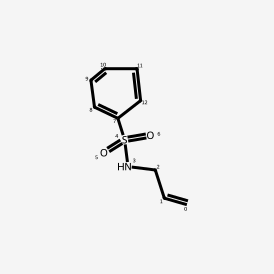 C=CCNS(=O)(=O)c1cc[c]cc1